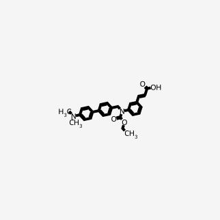 CCOC(=O)N(Cc1ccc(-c2ccc(N(C)C)cc2)cc1)c1cccc(C=CC(=O)O)c1